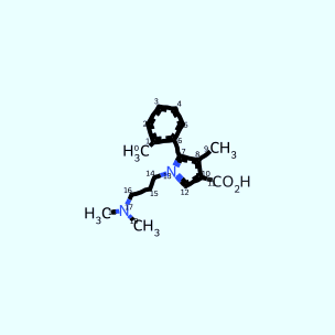 Cc1ccccc1-c1c(C)c(C(=O)O)cn1CCCN(C)C